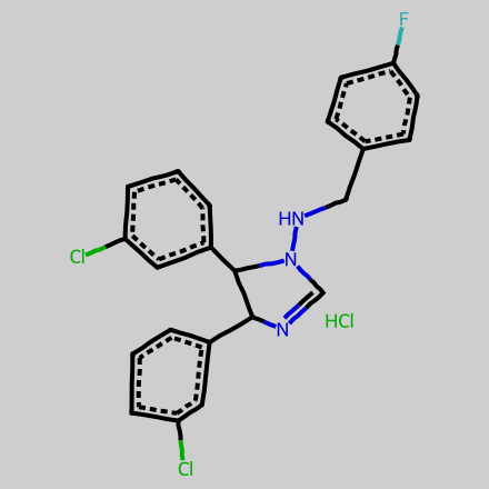 Cl.Fc1ccc(CNN2C=NC(c3cccc(Cl)c3)C2c2cccc(Cl)c2)cc1